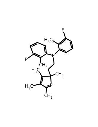 CC1=PC(C)(CCP(c2cccc(F)c2C)c2cccc(F)c2C)C(C)=C1C